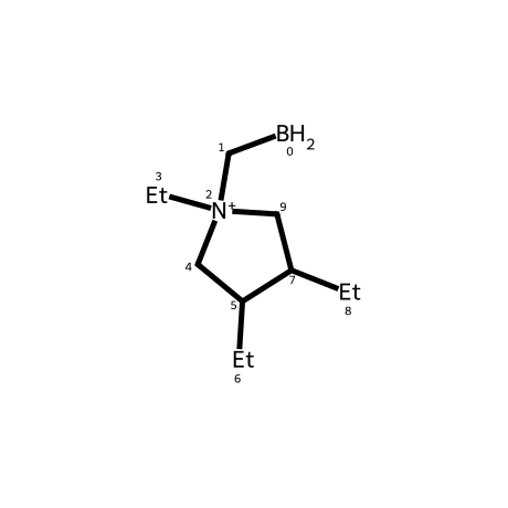 BC[N+]1(CC)CC(CC)C(CC)C1